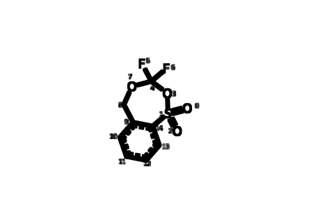 O=S1(=O)OC(F)(F)OCc2ccccc21